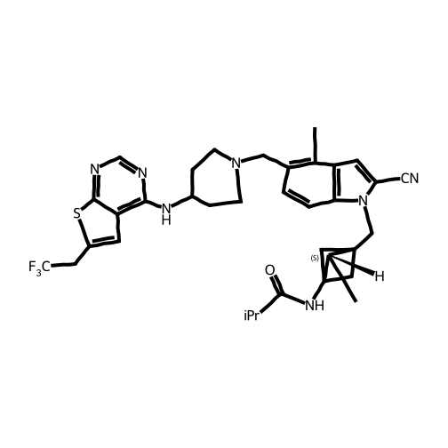 Cc1c(CN2CCC(Nc3ncnc4sc(CC(F)(F)F)cc34)CC2)ccc2c1cc(C#N)n2CC12CC(NC(=O)C(C)C)(C1)[C@H]2C